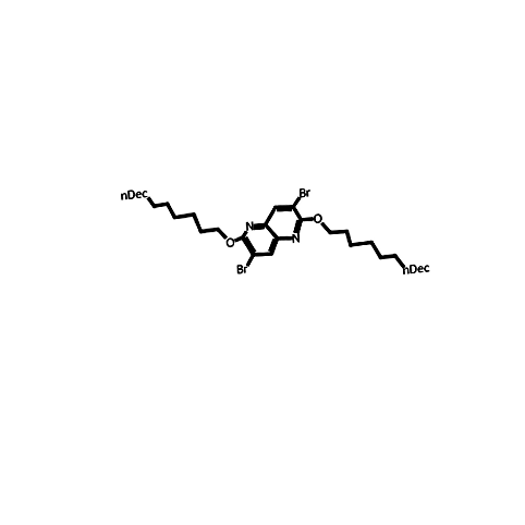 CCCCCCCCCCCCCCCCOc1nc2cc(Br)c(OCCCCCCCCCCCCCCCC)nc2cc1Br